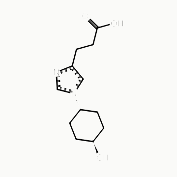 C[C@H]1CC[C@H](n2cnc(CCC(=O)O)c2)CC1